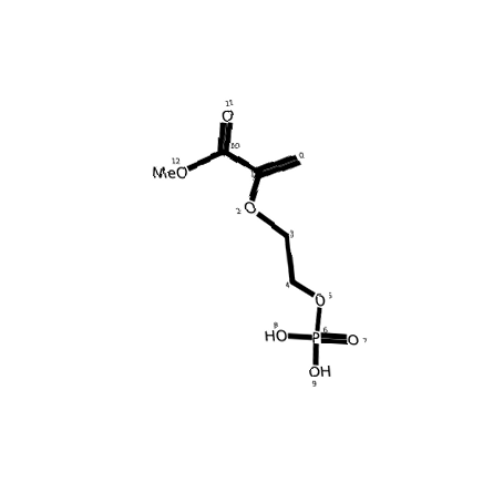 C=C(OCCOP(=O)(O)O)C(=O)OC